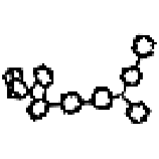 c1ccc(-c2ccc(N(c3ccccc3)c3ccc(-c4ccc(-c5cccc6c5-c5ccccc5C65C6CC7CC(C6)CC5C7)cc4)cc3)cc2)cc1